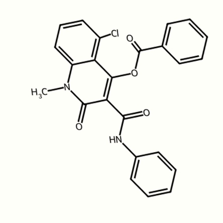 Cn1c(=O)c(C(=O)Nc2ccccc2)c(OC(=O)c2ccccc2)c2c(Cl)cccc21